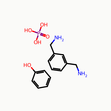 NCc1cccc(CN)c1.O=P(O)(O)O.Oc1ccccc1